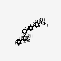 CN(C)C1CCN(c2ccc(C3CCCN(c4nc(-c5ccncc5)cc(=O)n4C)C3)cc2)CC1